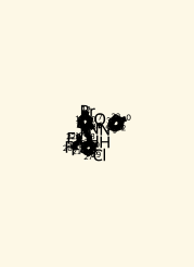 Cc1ccc(NC(=O)Nc2cc(Br)ccc2N(CCC(F)(F)F)Cc2cccc(Cl)c2)cc1